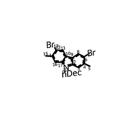 CCCCCCCCCCn1c2cc(C)c(Br)cc2c2cc(Br)c(C)cc21